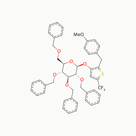 COc1ccc(Cc2sc(C(F)(F)F)cc2O[C@@H]2O[C@H](COCc3ccccc3)[C@@H](OCc3ccccc3)[C@H](OCc3ccccc3)[C@H]2OCc2ccccc2)cc1